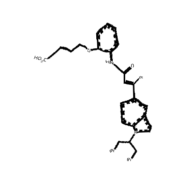 CCC(=CC(=O)Nc1ccccc1OCCCC(=O)O)c1ccc2c(ccn2C(CC(C)C)CC(C)C)c1